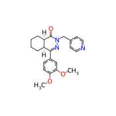 COc1ccc(C2=NN(Cc3ccncc3)C(=O)[C@@H]3CCCC[C@H]23)cc1OC